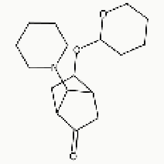 O=C1CC2C(OC3CCCCO3)CC1C2N1CCCCC1